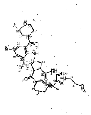 CNc1cncc(C(=O)N2C[C@H](Nc3c(C(=O)N4C[C@@H](C)O[C@@H](C)C4)cc(Br)cc3[N+](=O)[O-])C[C@H]2C(=O)Nc2nn(CCOC)cc2Br)c1